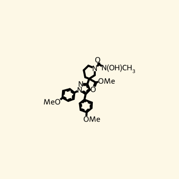 COC(=O)C1(c2cc(-c3ccc(OC)cc3)n(-c3ccc(OC)cc3)n2)CCCN(C(=O)N(C)O)C1